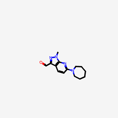 Cn1nc(C=O)c2ccc(N3CCCCCC3)nc21